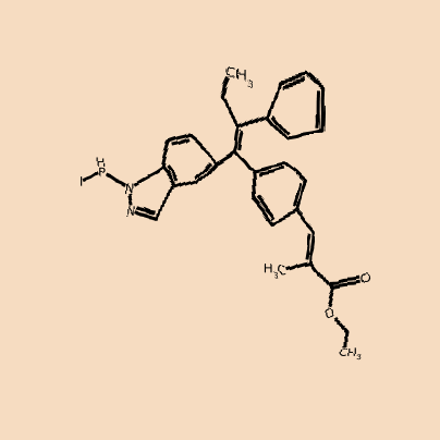 CCOC(=O)/C(C)=C/c1ccc(/C(=C(/CC)c2ccccc2)c2ccc3c(cnn3PI)c2)cc1